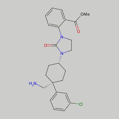 COC(=O)c1ccccc1N1CCN([C@H]2CC[C@](CN)(c3cccc(Cl)c3)CC2)C1=O